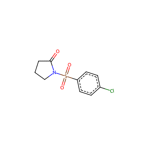 O=C1CCCN1S(=O)(=O)c1ccc(Cl)cc1